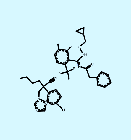 CCCCC(C#N)(Cn1cncn1)c1ccc(Cl)cc1.O=C(Cc1ccccc1)/N=C(\NOCC1CC1)c1c(C(F)(F)F)ccc(F)c1F